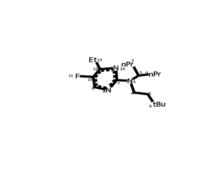 CCCC(CCC)N(CCC(C)(C)C)c1ncc(F)c(CC)n1